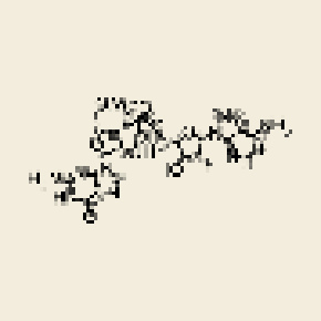 COC[C@H]1O[C@@H](n2cnc3c(=O)[nH]c(N)nc32)[C@@H](O)[C@H]1OP(=O)(O)OC[C@H]1O[C@@H](n2cnc3c(N)ncnc32)[C@@H](F)[C@H]1O